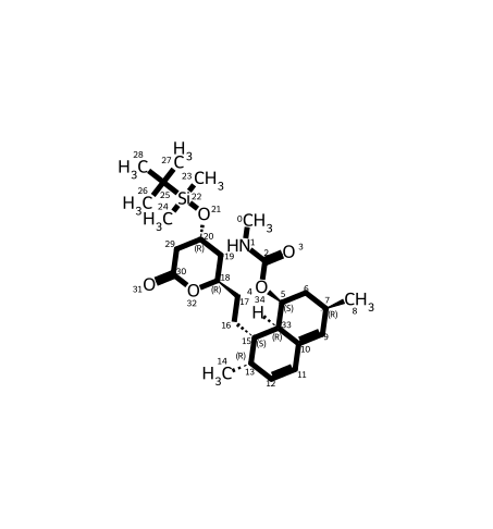 CNC(=O)O[C@H]1C[C@@H](C)C=C2C=C[C@H](C)[C@H](CC[C@@H]3C[C@@H](O[Si](C)(C)C(C)(C)C)CC(=O)O3)[C@H]21